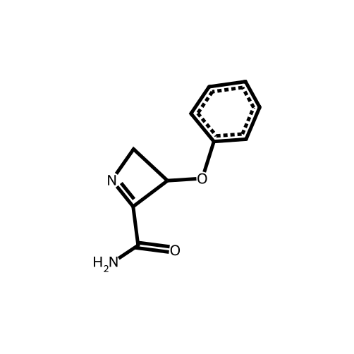 NC(=O)C1=NCC1Oc1ccccc1